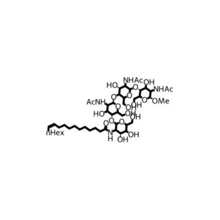 CCCCCC/C=C\CCCCCCCCCC(=O)NC1C(O[C@H]2C(CO)O[C@H](OC3C(CO)OC(O[C@H]4C(CO)O[C@H](OC)C(NC(C)=O)C4O)C(NC(C)=O)[C@H]3O)C(NC(C)=O)C2O)OC(CO)C(O)[C@@H]1O